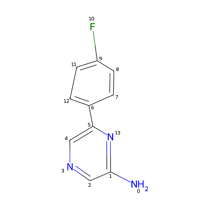 Nc1cncc(-c2ccc(F)cc2)n1